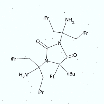 CCCCC1(CC)C(=O)N(C(N)(CC(C)C)CC(C)C)C(=O)N1C(N)(CC(C)C)CC(C)C